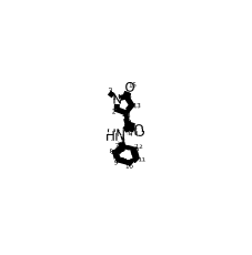 CN1CC(C(=O)Nc2ccccc2)CC1=O